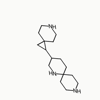 C1CC2(CCN1)CCC(C1CC13CCNCC3)CN2